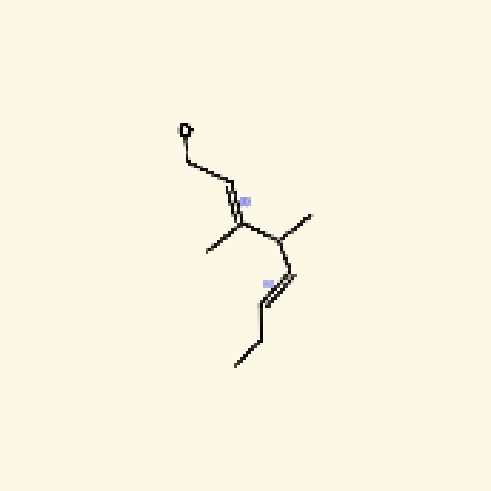 CC/C=C/C(C)/C(C)=C/C[O]